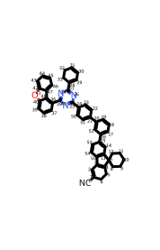 N#CC1=CC2=C(CC1)C1(CCCCC1)c1cc(-c3cccc(-c4ccc(-c5nc(C6=CC=CCC6)nc(-c6cccc7oc8ccccc8c67)n5)cc4)c3)ccc12